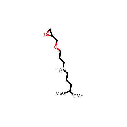 COC(CCC[SiH2]CCCOCC1CO1)OC